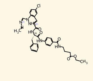 C=N/N=C\N(N)c1ccc(Cl)cc1/C=C/C(=O)N[C@@H](Cc1ccccc1)C(=O)Nc1ccc(C(=O)NCCCC(=O)OCC)cc1